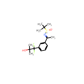 CC(=N[S@+]([O-])C(C)(C)C)c1cccc(C(F)(F)C(C)(C)O)c1